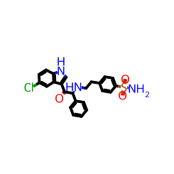 NS(=O)(=O)c1ccc(CCN[C@H](C(=O)c2c[nH]c3ccc(Cl)cc23)c2ccccc2)cc1